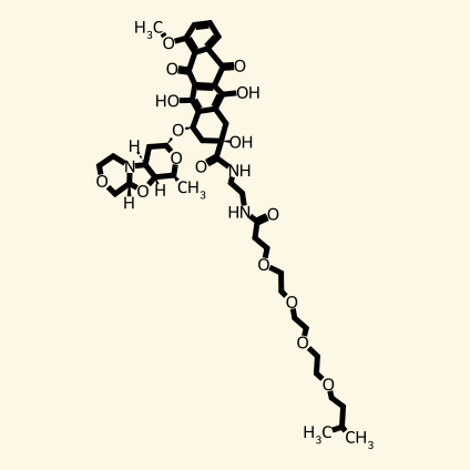 COc1cccc2c1C(=O)c1c(O)c3c(c(O)c1C2=O)C[C@@](O)(C(=O)NCCNC(=O)CCOCCOCCOCCOCCC(C)C)C[C@@H]3O[C@H]1C[C@H]2[C@H](O[C@@H]3COCCN32)[C@H](C)O1